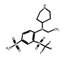 CCN(c1ccc(S(N)(=O)=O)cc1S(=O)(=O)C(F)(F)F)C1CCNCC1